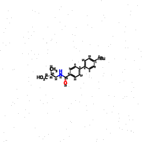 CCCCc1ccc(-c2ccc(C(=O)NC[C@@H](C)C(=O)O)cc2)cc1